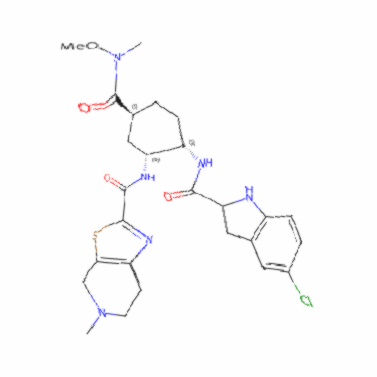 CON(C)C(=O)[C@H]1CC[C@H](NC(=O)C2Cc3cc(Cl)ccc3N2)[C@H](NC(=O)c2nc3c(s2)CN(C)CC3)C1